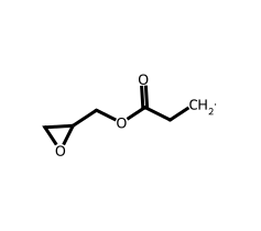 [CH2]CC(=O)OCC1CO1